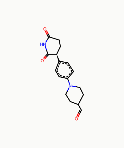 O=CC1CCN(c2ccc([C@@H]3CCC(=O)NC3=O)cc2)CC1